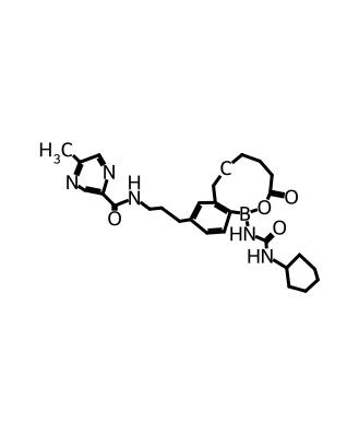 Cc1cnc(C(=O)NCCCc2ccc3c(c2)CCCCCC(=O)OB3NC(=O)NC2CCCCC2)cn1